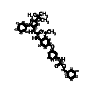 CSc1cc(Oc2ccnc(NC(=O)OCc3ccccc3)c2)ccc1NC(=O)Nc1cc(C(C)(C)C)nn1-c1ccccc1